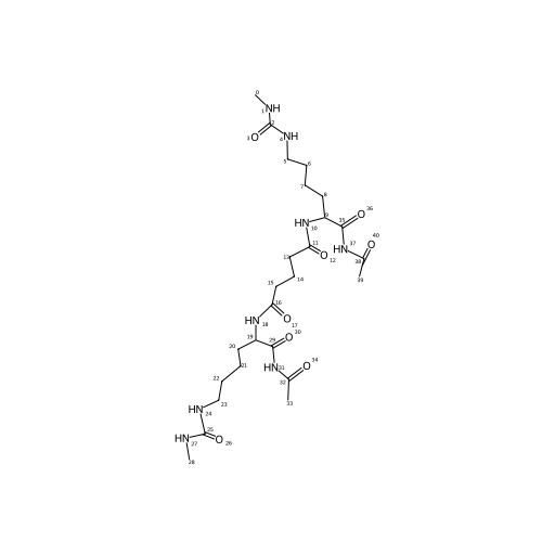 CNC(=O)NCCCCC(NC(=O)CCCC(=O)NC(CCCCNC(=O)NC)C(=O)NC(C)=O)C(=O)NC(C)=O